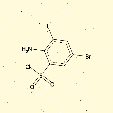 Nc1c(I)cc(Br)cc1S(=O)(=O)Cl